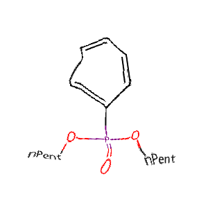 CCCCCOP(=O)(OCCCCC)c1ccccc1